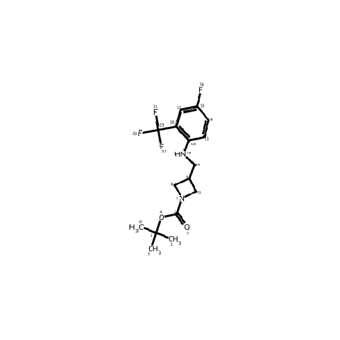 CC(C)(C)OC(=O)N1CC(CNc2ccc(F)cc2C(F)(F)F)C1